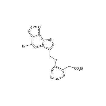 CCOC(=O)Cc1ccccc1OCc1csc2c1cc(Br)c1ccoc12